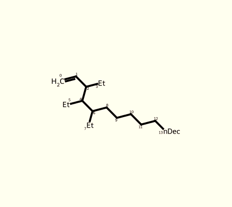 C=CC(CC)C(CC)C(CC)CCCCCCCCCCCCCCC